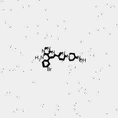 Nc1ncnc2nc(-c3ccc(N4CCC(=NO)CC4)nc3)cc(-c3cccc(Br)c3)c12